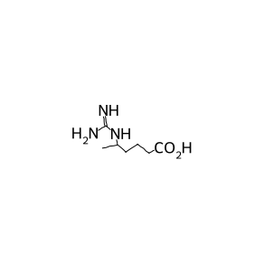 CC(CCCC(=O)O)NC(=N)N